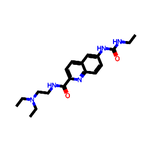 CCNC(=O)Nc1ccc2nc(C(=O)NCCN(CC)CC)ccc2c1